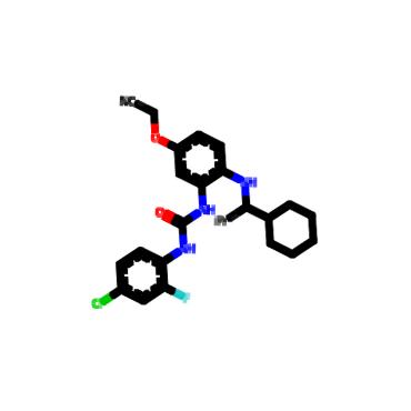 CC(C)C(Nc1ccc(OCC#N)cc1NC(=O)Nc1ccc(Cl)cc1F)C1CCCCC1